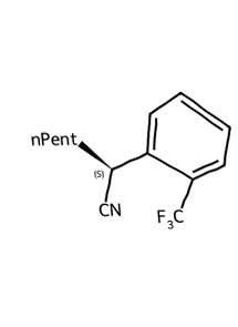 CCCCC[C@H](C#N)c1ccccc1C(F)(F)F